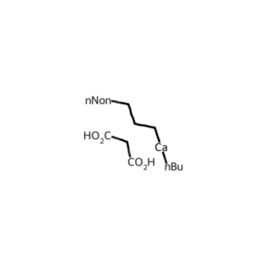 CCCCCCCCCCC[CH2][Ca][CH2]CCC.O=C(O)CC(=O)O